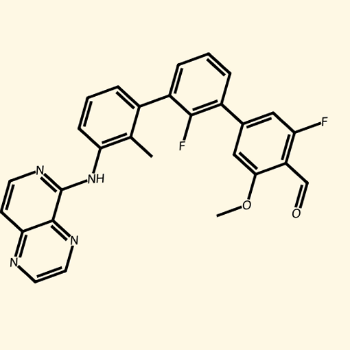 COc1cc(-c2cccc(-c3cccc(Nc4nccc5nccnc45)c3C)c2F)cc(F)c1C=O